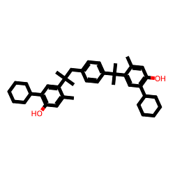 Cc1cc(O)c(C2CCCCC2)cc1C(C)(C)Cc1ccc(C(C)(C)c2cc(C3CCCCC3)c(O)cc2C)cc1